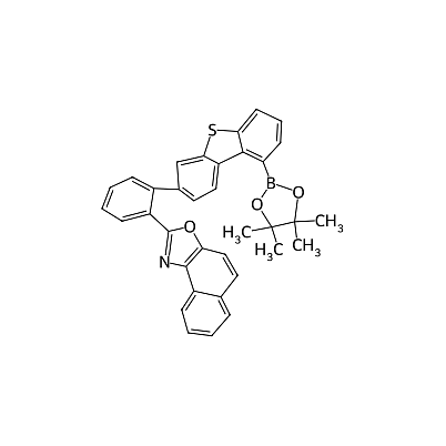 CC1(C)OB(c2cccc3sc4cc(-c5ccccc5-c5nc6c(ccc7ccccc76)o5)ccc4c23)OC1(C)C